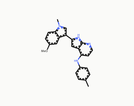 COc1ccc2c(c1)c(-c1cc3c(Nc4ccc(C)cc4)ccnc3[nH]1)cn2C